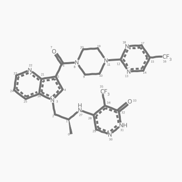 C[C@@H](Cn1cc(C(=O)N2CCN(c3ncc(C(F)(F)F)cn3)CC2)c2ncccc21)Nc1cn[nH]c(=O)c1C(F)(F)F